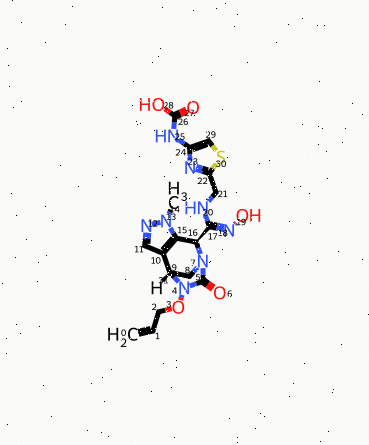 C=CCON1C(=O)N2C[C@H]1c1cnn(C)c1[C@H]2/C(=N/O)NCc1nc(NC(=O)O)cs1